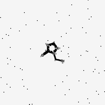 CC(=O)Cn1ncoc1=O